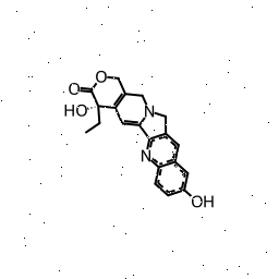 CC[C@@]1(O)C(=O)OCC2=C1C=C1c3nc4ccc(O)cc4cc3CN1C2